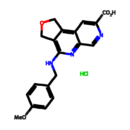 COc1ccc(CNc2nc3cnc(C(=O)O)cc3c3c2COC3)cc1.Cl